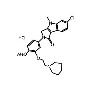 COc1ccc(N2Cc3c(c4ccc(Cl)cc4n3C)C2=O)cc1OCCN1CCCCC1.Cl